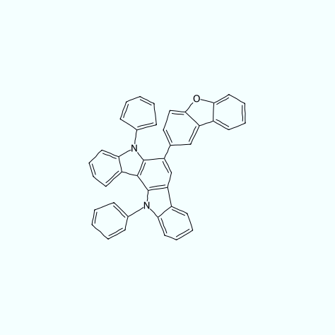 c1ccc(-n2c3ccccc3c3c2c(-c2ccc4oc5ccccc5c4c2)cc2c4ccccc4n(-c4ccccc4)c23)cc1